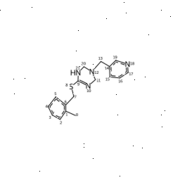 Cc1ccccc1CSC1=NCN(Cc2cccnc2)CN1